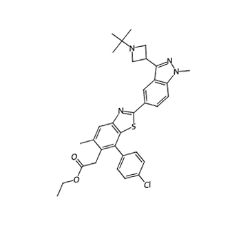 CCOC(=O)Cc1c(C)cc2nc(-c3ccc4c(c3)c(C3CN(C(C)(C)C)C3)nn4C)sc2c1-c1ccc(Cl)cc1